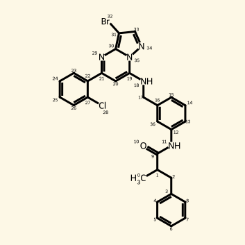 CC(Cc1ccccc1)C(=O)Nc1cccc(CNc2cc(-c3ccccc3Cl)nc3c(Br)cnn23)c1